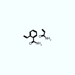 C=CC(N)=O.C=Cc1ccccc1C(N)=O